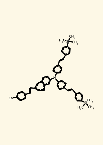 [C-]#[N+]c1ccc(/C=C/c2ccc3cc(N(c4ccc(/C=C/c5ccc([Si](C)(C)C)cc5)cc4)c4ccc(/C=C/c5ccc([Si](C)(C)C)cc5)cc4)ccc3c2)cc1